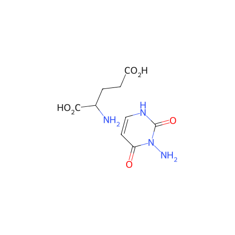 NC(CCC(=O)O)C(=O)O.Nn1c(=O)cc[nH]c1=O